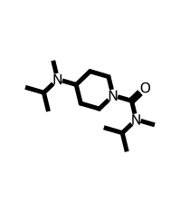 CC(C)N(C)C(=O)N1CCC(N(C)C(C)C)CC1